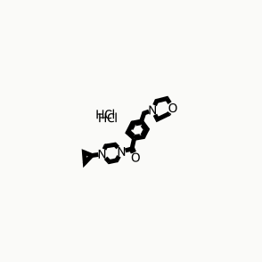 Cl.Cl.O=C(c1ccc(CN2CCOCC2)cc1)N1CCN(C2CC2)CC1